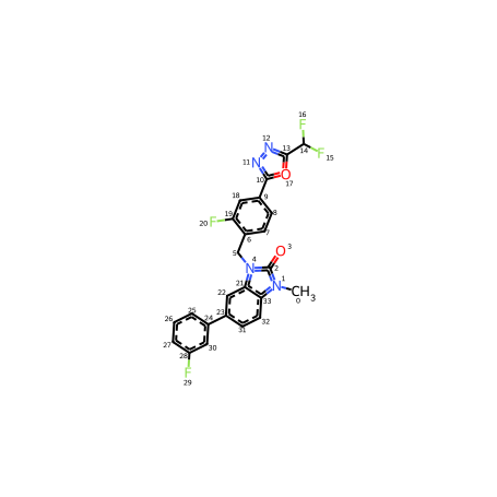 Cn1c(=O)n(Cc2ccc(-c3nnc(C(F)F)o3)cc2F)c2cc(-c3cccc(F)c3)ccc21